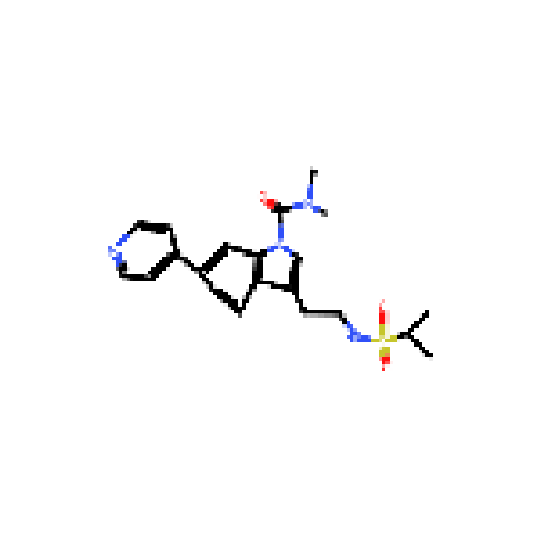 CC(C)S(=O)(=O)NCCc1cn(C(=O)N(C)C)c2cc(-c3ccncc3)ccc12